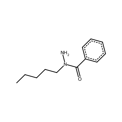 CCCCCN(N)C(=O)c1ccccc1